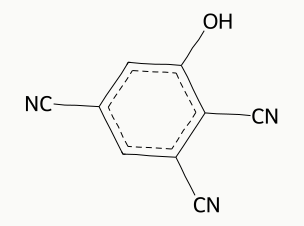 N#Cc1cc(O)c(C#N)c(C#N)c1